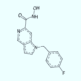 O=C(NO)c1cc2c(ccn2Cc2ccc(F)cc2)cn1